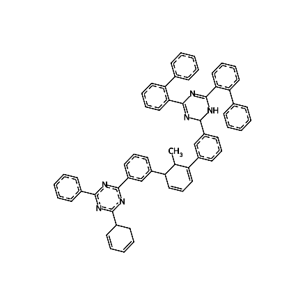 CC1C(c2cccc(C3N=C(c4ccccc4-c4ccccc4)N=C(c4ccccc4-c4ccccc4)N3)c2)=CC=CC1c1cccc(-c2nc(-c3ccccc3)nc(C3C=CC=CC3)n2)c1